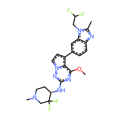 COc1nc(N[C@@H]2CCN(C)CC2(F)F)nn2ccc(-c3ccc4nc(C)n(CC(F)F)c4c3)c12